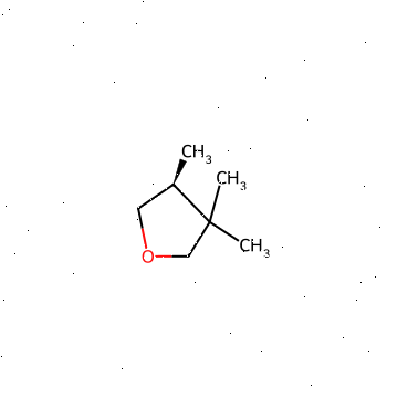 C[C@@H]1COCC1(C)C